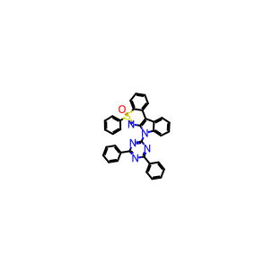 O=S1(c2ccccc2)=Nc2c(c3ccccc3n2-c2nc(-c3ccccc3)nc(-c3ccccc3)n2)-c2ccccc21